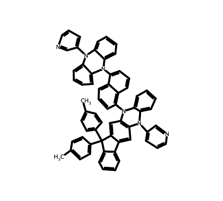 Cc1ccc(C2(c3ccc(C)cc3)c3ccccc3-c3cc4c(cc32)N(c2cccc3c(N5c6ccccc6N(c6cccnc6)c6ccccc65)cccc23)c2ccccc2N4c2cccnc2)cc1